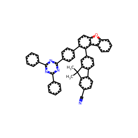 CC1(C)c2cc(C#N)ccc2-c2ccc(-c3c(-c4ccc(-c5nc(-c6ccccc6)nc(-c6ccccc6)n5)cc4)ccc4oc5ccccc5c34)cc21